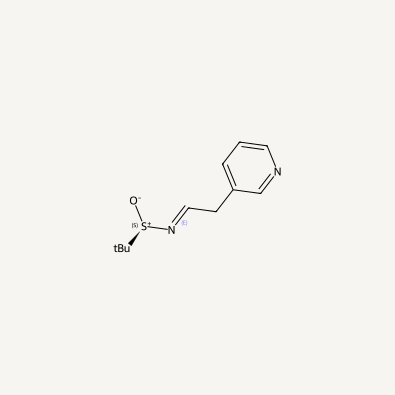 CC(C)(C)[S@@+]([O-])/N=C/Cc1cccnc1